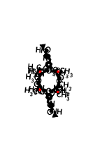 CC(C)C[C@H]1C(=O)O[C@H](Cc2cccc(Cn3cc(C(=O)NC4CC4)cn3)c2)C(=O)N(C)[C@@H](CC(C)C)C(=O)O[C@H](C)C(=O)N(C)[C@@H](CC(C)C)C(=O)O[C@H](Cc2cccc(Cn3cc(C(=O)NC4CC4)cn3)c2)C(=O)N(C)[C@@H](CC(C)C)C(=O)O[C@H](C)C(=O)N1C